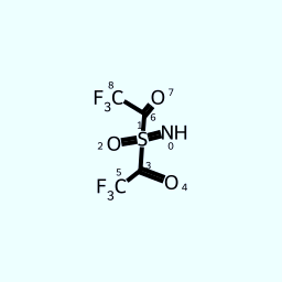 N=S(=O)(C(=O)C(F)(F)F)C(=O)C(F)(F)F